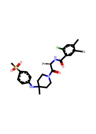 CCc1cc(C(=O)N[C@@H](C(=O)N2CCC(C)(Nc3ccc(S(C)(=O)=O)cc3)CC2)C(C)C)c(F)cc1C